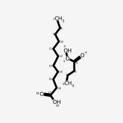 CCCC(=O)OO.CCCCCCCCCCC(=O)O